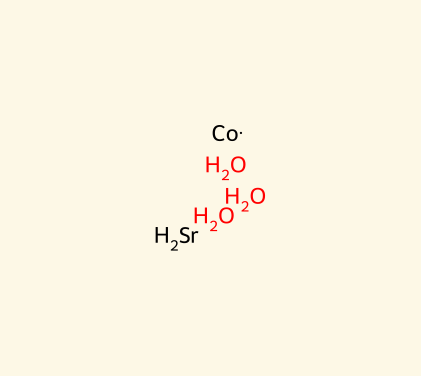 O.O.O.[Co].[SrH2]